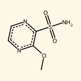 COc1nccnc1S(N)(=O)=O